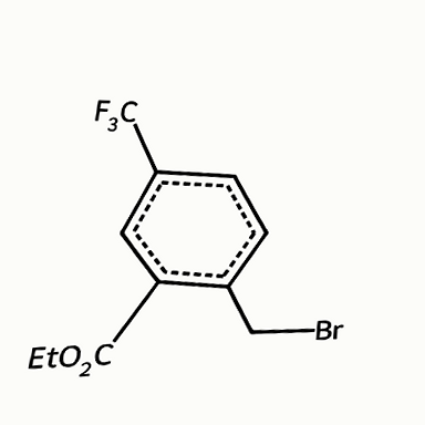 CCOC(=O)c1cc(C(F)(F)F)ccc1CBr